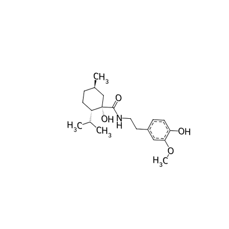 COc1cc(CCNC(=O)[C@]2(O)C[C@H](C)CC[C@H]2C(C)C)ccc1O